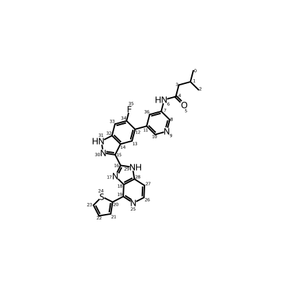 CC(C)CC(=O)Nc1cncc(-c2cc3c(-c4nc5c(-c6cccs6)nccc5[nH]4)n[nH]c3cc2F)c1